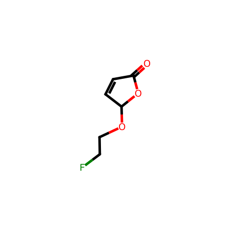 O=C1C=CC(OCCF)O1